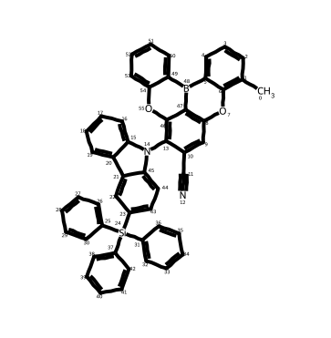 Cc1cccc2c1Oc1cc(C#N)c(-n3c4ccccc4c4cc([Si](c5ccccc5)(c5ccccc5)c5ccccc5)ccc43)c3c1B2c1ccccc1O3